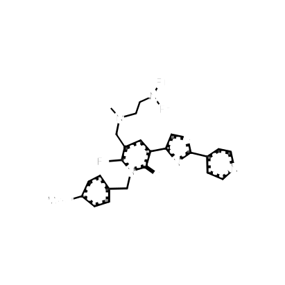 CCc1c(CN(C)CCN(CC)CC)cc(-c2csc(-c3ccncc3)n2)c(=O)n1Cc1ccc(OC)cc1